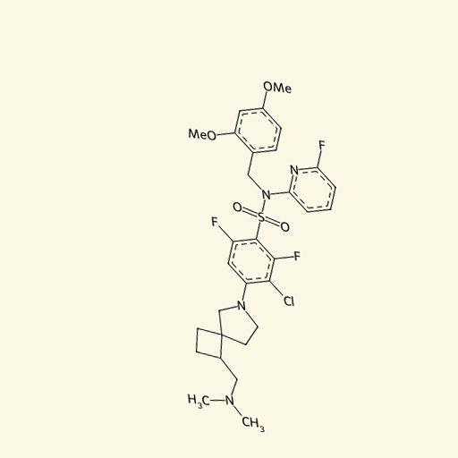 COc1ccc(CN(c2cccc(F)n2)S(=O)(=O)c2c(F)cc(N3CCC4(CCC4CN(C)C)C3)c(Cl)c2F)c(OC)c1